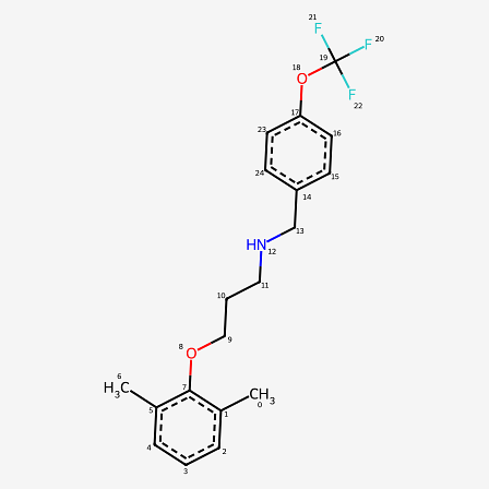 Cc1cccc(C)c1OCCCNCc1ccc(OC(F)(F)F)cc1